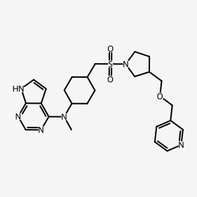 CN(c1ncnc2[nH]ccc12)C1CCC(CS(=O)(=O)N2CCC(COCc3cccnc3)C2)CC1